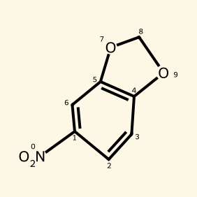 O=[N+]([O-])c1ccc2c(c1)OCO2